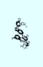 Cn1cc(-n2ncc3cc(N4C(=O)C[C@@H](NC(=O)C(C)(F)F)[C@@H]4c4ccc(F)cc4F)ccc32)ccc1=O